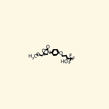 COC[C@@H]1CN(c2ccc(OCC[C@@H](O)C(F)(F)F)cc2)C(=O)O1